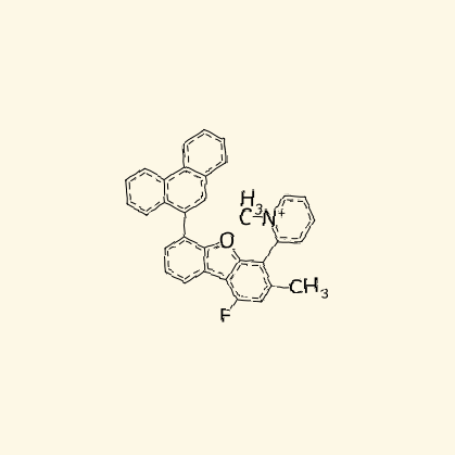 Cc1cc(F)c2c(oc3c(-c4cc5ccccc5c5ccccc45)cccc32)c1-c1cccc[n+]1C